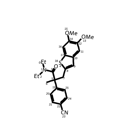 CCN(CC)C(=O)C(C)(Cc1cc2cc(OC)c(OC)cc2s1)c1ccc(C#N)cc1